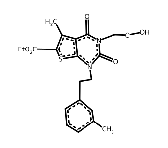 CCOC(=O)c1sc2c(c1C)c(=O)n(CCO)c(=O)n2CCc1cccc(C)c1